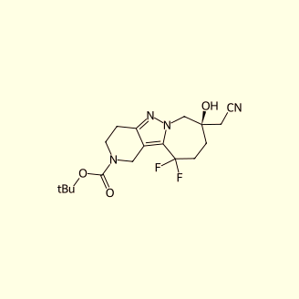 CC(C)(C)OC(=O)N1CCc2nn3c(c2C1)C(F)(F)CC[C@@](O)(CC#N)C3